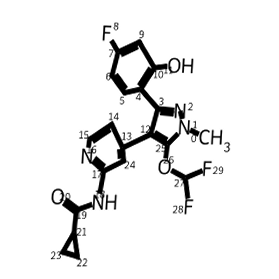 Cn1nc(-c2ccc(F)cc2O)c(-c2ccnc(NC(=O)C3CC3)c2)c1OC(F)F